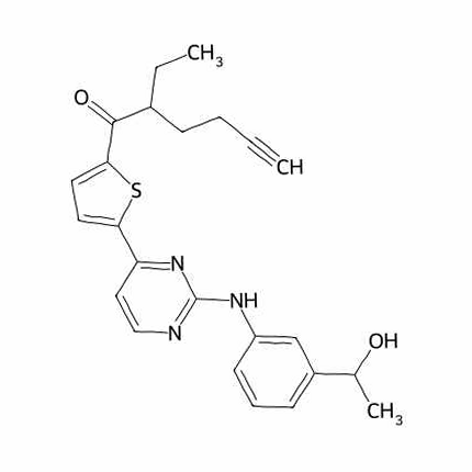 C#CCCC(CC)C(=O)c1ccc(-c2ccnc(Nc3cccc(C(C)O)c3)n2)s1